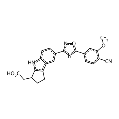 N#Cc1ccc(-c2nc(-c3ccc4[nH]c5c(c4c3)CCC5CC(=O)O)no2)cc1OC(F)(F)F